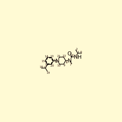 CC(C)NC(=O)N(C)C1CCN(c2cccc(C(C)C)c2)CC1